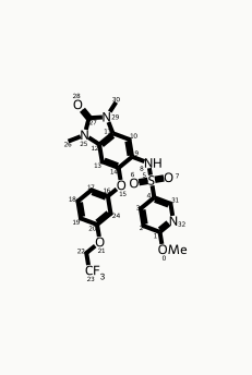 COc1ccc(S(=O)(=O)Nc2cc3c(cc2Oc2cccc(OCC(F)(F)F)c2)n(C)c(=O)n3C)cn1